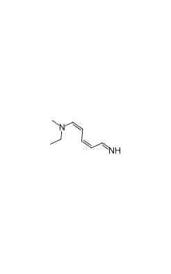 CCN(C)/C=C\C=C/C=N